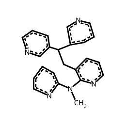 CN(c1ccccn1)c1ncccc1CC(c1cccnc1)c1cccnc1